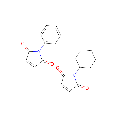 O=C1C=CC(=O)N1C1CCCCC1.O=C1C=CC(=O)N1c1ccccc1